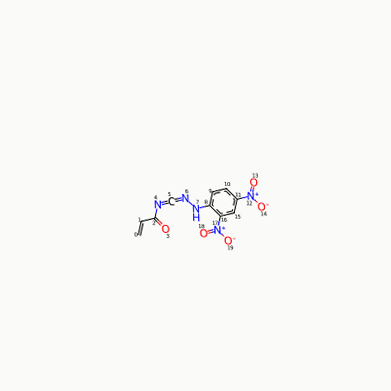 C=CC(=O)N=C=NNc1ccc([N+](=O)[O-])cc1[N+](=O)[O-]